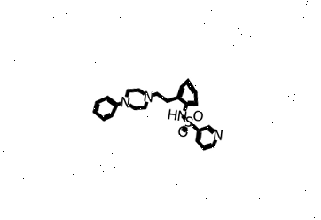 O=S(=O)(Nc1ccccc1CCN1CCN(c2ccccc2)CC1)c1cccnc1